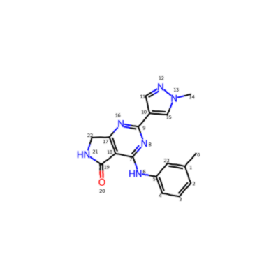 Cc1cccc(Nc2nc(-c3cnn(C)c3)nc3c2C(=O)NC3)c1